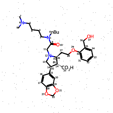 CCCCN(CCCCN(C)C)C(=O)CN1C[C@H](c2ccc3c(c2)OCO3)[C@@H](C(=O)O)[C@@H]1CCOc1ccccc1CO